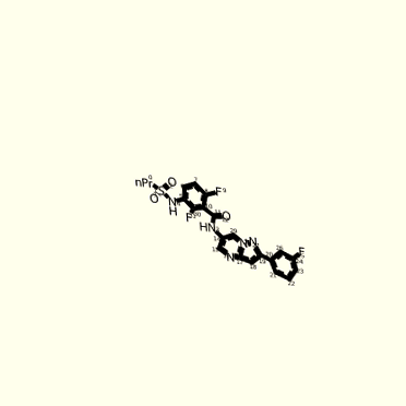 CCCS(=O)(=O)Nc1ccc(F)c(C(=O)Nc2cnc3cc(-c4cccc(F)c4)nn3c2)c1F